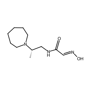 C[C@@H](CNC(=O)/C=N/O)N1CCCCCC1